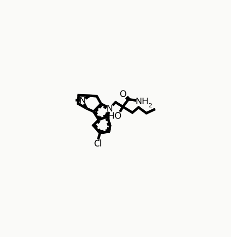 CCCCC(O)(Cn1c2c(c3cc(Cl)ccc31)C1CCC(C2)N1C)C(N)=O